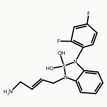 NC/C=C/CN1c2ccccc2N(c2ccc(F)cc2F)S1(O)O